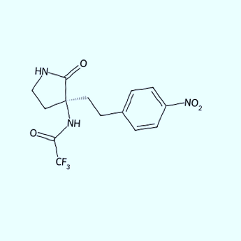 O=C(N[C@@]1(CCc2ccc([N+](=O)[O-])cc2)CCNC1=O)C(F)(F)F